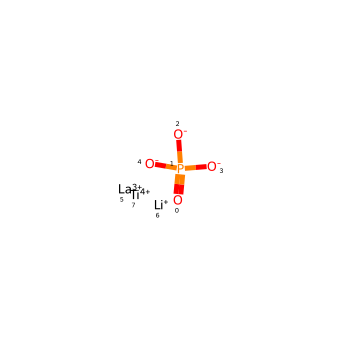 O=P([O-])([O-])[O-].[La+3].[Li+].[Ti+4]